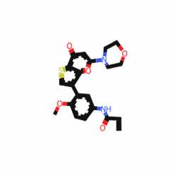 C=CC(=O)Nc1ccc(OC)c(-c2csc3c(=O)cc(N4CCOCC4)oc23)c1